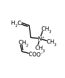 C=CC(=O)[O-].C=CC[N+](C)(C)C